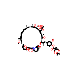 CO[C@H]1C[C@@H]2CC[C@@H](C)[C@@](O)(O2)C(=O)C(=O)N2CCCC[C@H]2C(=O)O[C@H]([C@H](C)C[C@@H]2CC[C@@H](OC(=O)C3(C)COC(C)(C)OC3)[C@H](OC)C2)CC(=O)[C@H](C)/C=C(\C)[C@@H](OC(C)=O)[C@@H](CO)C(=O)[C@H](C)C[C@H](C)/C=C/C=C/C=C/1C